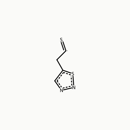 S=[C]Cc1cnns1